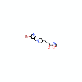 O=C(CCCC1CCN(Cc2cncc(Br)c2)CC1)c1ncco1